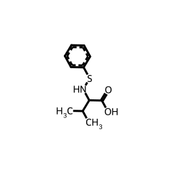 CC(C)C(NSc1ccccc1)C(=O)O